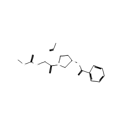 CNC(=O)NCC(=O)N1C[C@H](NC(=O)c2ccccc2)C[C@H]1C(=O)O